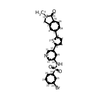 CN1Cc2cc(-c3ccc(-c4cncc(NS(=O)(=O)c5cccc(Br)c5)c4)s3)ccc2C1=O